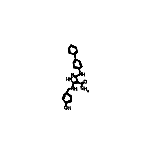 NC(=O)c1c(Nc2ccc(-c3ccccc3)cc2)n[nH]c1NCc1ccc(O)cc1